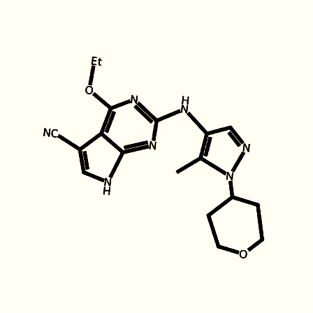 CCOc1nc(Nc2cnn(C3CCOCC3)c2C)nc2[nH]cc(C#N)c12